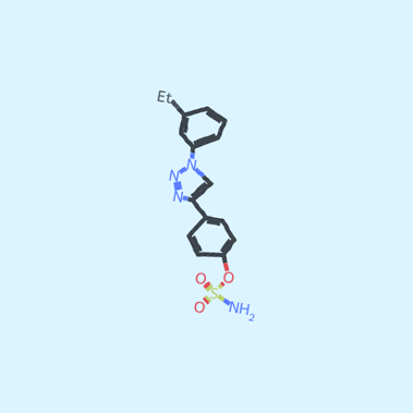 CCc1cccc(-n2cc(-c3ccc(OS(N)(=O)=O)cc3)nn2)c1